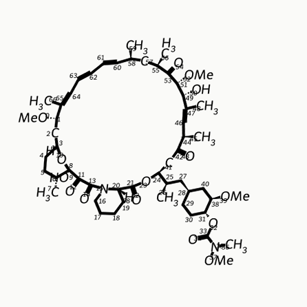 CO[C@H]1C[C@@H]2CC[C@@H](C)[C@@](O)(O2)C(=O)C(=O)N2CCCC[C@H]2C(=O)O[C@H]([C@H](C)C[C@@H]2CC[C@@H](OC(=O)N(C)OC)[C@H](OC)C2)CC(=O)[C@H](C)/C=C(\C)[C@@H](O)[C@@H](OC)C(=O)[C@H](C)C[C@H](C)/C=C/C=C/C=C/1C